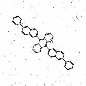 c1ccc(-c2ccc3cc(-c4c5ccccc5c(-c5ccc6cc(-c7ccccc7)ccc6c5)c5ncccc45)ccc3c2)cc1